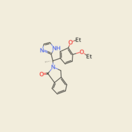 CCOc1ccc([C@](C)(c2ncc[nH]2)N2Cc3ccccc3C2=O)cc1OCC